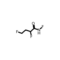 O=C(NF)C(F)CCF